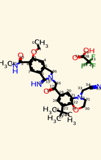 CCOc1cc2c(cc1C(=O)NC)C(=N)N(CC(=O)c1cc3c(c(C(C)(C)C)c1)OCCN3CC#N)C2.O=C(O)C(F)(F)F